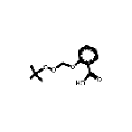 CC(C)(C)OOCOc1ccccc1C(=O)O